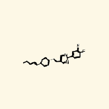 CCC/C=C/[C@H]1CC[C@H](CCc2cnc(-c3ccc(F)c(F)c3)nc2)CC1